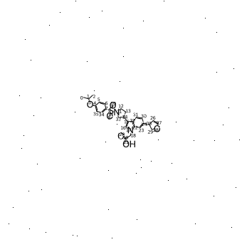 CC(C)Oc1ccc(S(=O)(=O)N2CCC(c3cn(CC(=O)O)c4cc(C5C=COC5)ccc34)C2)cc1